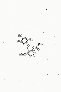 CCc1cc(CC)c(OCc2c(OC)cccc2OC(=O)OC)cc1F